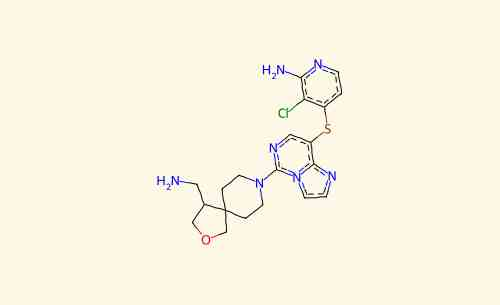 NCC1COCC12CCN(c1ncc(Sc3ccnc(N)c3Cl)c3nccn13)CC2